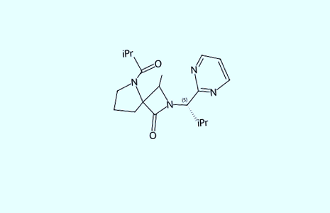 CC(C)C(=O)N1CCCC12C(=O)N([C@H](c1ncccn1)C(C)C)C2C